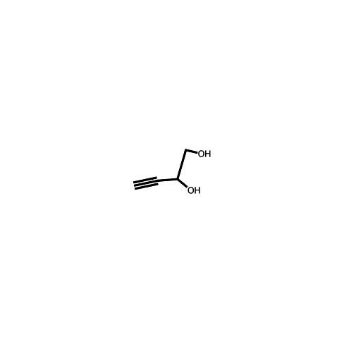 C#CC(O)CO